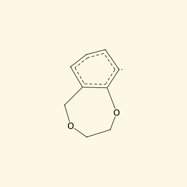 [c]1cccc2c1OCCOC2